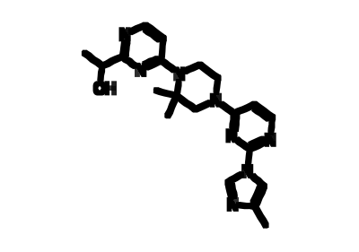 Cc1cn(-c2nccc(N3CCN(c4ccnc(C(C)O)n4)C(C)(C)C3)n2)cn1